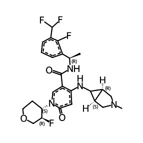 C[C@@H](NC(=O)c1cn([C@H]2CCOC[C@@H]2F)c(=O)cc1NC1[C@H]2CN(C)C[C@@H]12)c1cccc(C(F)F)c1F